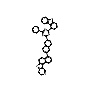 c1ccc(-c2nc(-c3ccc4cc(-c5cccc6c5ccc5oc7ccncc7c56)ccc4c3)nc(-c3cccc4oc5ccccc5c34)n2)cc1